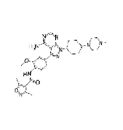 COc1cc(-c2nn(C3CCC(N4CCN(C)CC4)CC3)c3ncnc(N)c23)ccc1NC(=O)c1c(C)noc1C